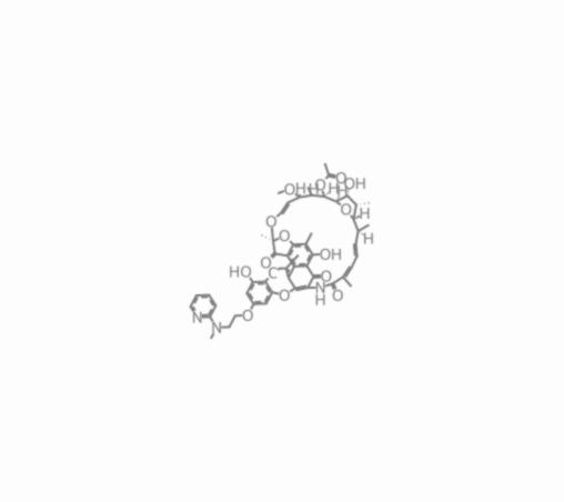 CO[C@H]1/C=C/O[C@@]2(C)Oc3c(C)c(O)c4c(c3C2=O)/C2=C(/C)CCc3c(O)cc(OCCN(C)c5ccccn5)cc3OC2=C(NC(=O)/C(C)=C\C=C\[C@H](C)[C@@H]2O[C@H]([C@H](O)[C@@H]2C)[C@H](OC(C)=O)[C@@H]1C)C4=O